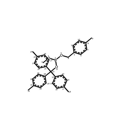 COB(OCc1ccc(C)cc1)OC(c1ccc(C)cc1)(c1ccc(C)cc1)c1ccc(C)cc1